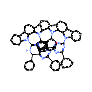 c1ccc(-c2nc(-c3ccccc3)nc(-n3c4ccccc4c4ccc5c6ccc7c8ccc9c%10ccccc%10n(C%10=Nc%11cnc(-c%12ccccc%12)nc%11C(c%11ccccc%11)N%10)c9c8n(-c8ccccc8)c7c6n(-c6ccccc6)c5c43)n2)cc1